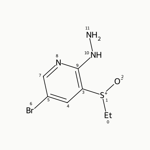 CC[S+]([O-])c1cc(Br)cnc1NN